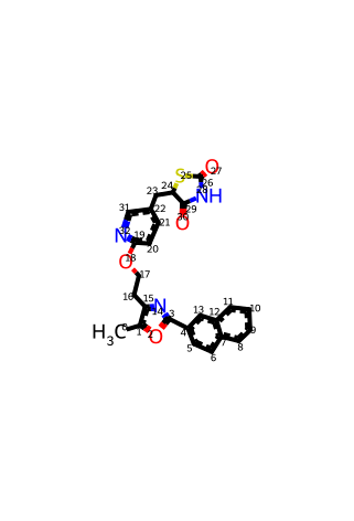 Cc1oc(-c2ccc3ccccc3c2)nc1CCOc1ccc(CC2SC(=O)NC2=O)cn1